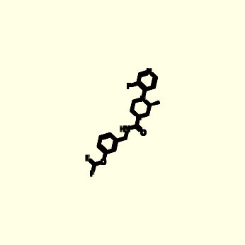 C[C@H]1CN(C(=O)NCc2cccc(OC(F)F)c2)CCN1c1ccncc1F